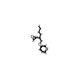 CCCCC(COc1cccnc1)C1CO1